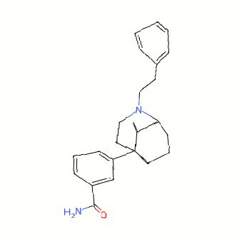 CC1C2CCCC1(c1cccc(C(N)=O)c1)CCN2CCc1ccccc1